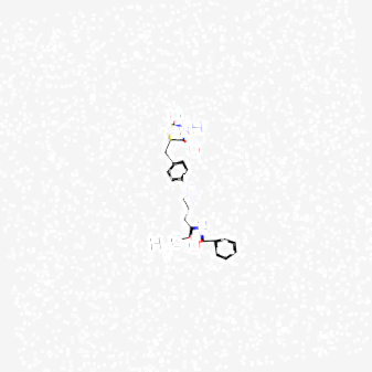 Cc1oc(-c2ccccc2)nc1CCCSc1ccc(CC2SC(=O)NC2=O)cc1